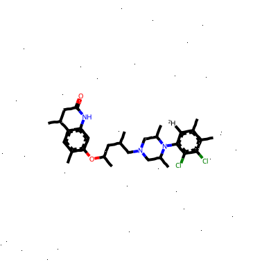 [2H]c1c(C)c(C)c(Cl)c(Cl)c1N1C(C)CN(CC(C)CC(C)Oc2cc3c(cc2C)C(C)CC(=O)N3)CC1C